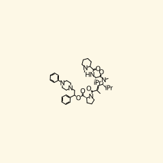 C/C(=C\[C@H](C(C)C)N(C)C(=O)[C@@H](NC(=O)C1CCCCN1C)C(C)C)C(=O)N1CCC[C@H]1C(=O)OC(CN1CCN(c2ccccc2)CC1)c1ccccc1